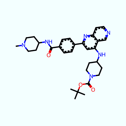 CN1CCC(NC(=O)c2ccc(-c3cc(NC4CCN(C(=O)OC(C)(C)C)CC4)c4cnccc4n3)cc2)CC1